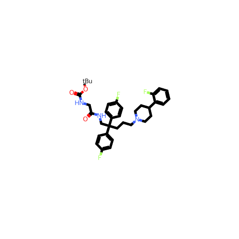 CC(C)(C)OC(=O)NCC(=O)NCC(CCCN1CCC(c2ccccc2F)CC1)(c1ccc(F)cc1)c1ccc(F)cc1